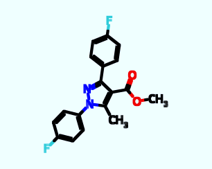 COC(=O)c1c(-c2ccc(F)cc2)nn(-c2ccc(F)cc2)c1C